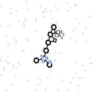 CC1(C)c2ccccc2-c2ccc3c(c21)C1CCC1c1cc(-c2ccc(-c4nc(-c5ccccc5)nc(-c5ccccn5)n4)cc2)ccc1-3